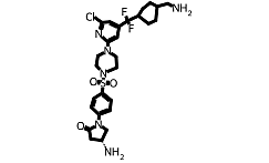 NCC1CCC(C(F)(F)c2cc(Cl)nc(N3CCN(S(=O)(=O)c4ccc(N5C[C@H](N)CC5=O)cc4)CC3)c2)CC1